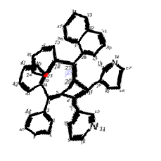 c1ccc(C(=C2C(c3cccnc3)=C(c3cccnc3)/C2=C(/c2ccccc2)c2cccc3ccccc23)c2ccccc2)cc1